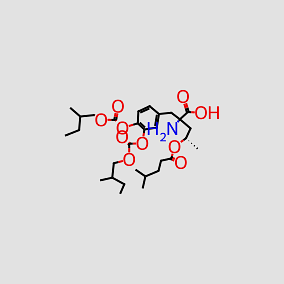 CCC(C)COC(=O)Oc1ccc(CC(N)(C[C@H](C)OC(=O)CCC(C)C)C(=O)O)cc1OC(=O)OCC(C)CC